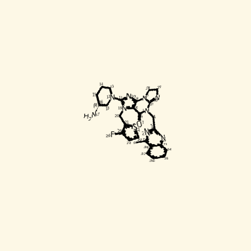 Cc1nc(CN2C(=O)c3c(nc(N4CCC[C@@H](N)C4)n3Cc3sccc3F)N3CCN=C23)nc2ccccc12